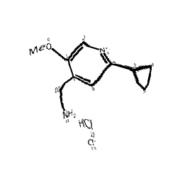 COC1=C[N+]=C(C2CC2)C=C1CN.Cl.[Cl-]